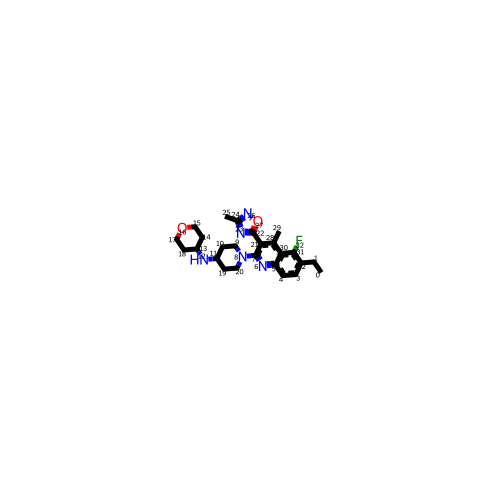 CCc1ccc2nc(N3CCC(NC4CCOCC4)CC3)c(-c3nc(C)no3)c(C)c2c1F